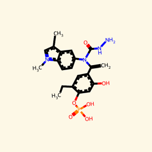 C=C(c1cc(CC)c(OP(=O)(O)O)cc1O)N(C(=O)NN)c1ccc2c(c1)c(C)cn2C